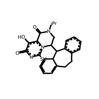 CC(C)N1CC(C2c3ccccc3CCC3=CC=C=CC32)n2c(S)nc(=O)c(O)c2C1=O